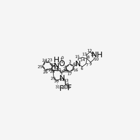 COc1cc(N2CCC3(CCNCC3)CC2)ccc1[C@@H]1c2[nH]c3ccccc3c2C[C@@H](C)N1CC(F)F